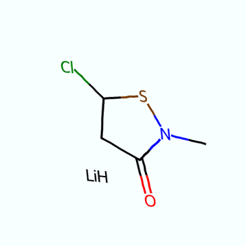 CN1SC(Cl)CC1=O.[LiH]